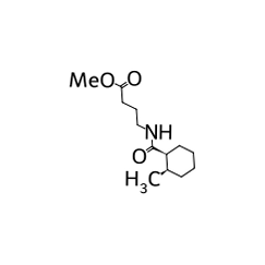 COC(=O)CCCNC(=O)[C@H]1CCCC[C@H]1C